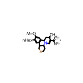 C=C(CCC)C1=CN2C(CC1=C)c1cc(OC)c(CCCCCC)cc1C1CSCCC12